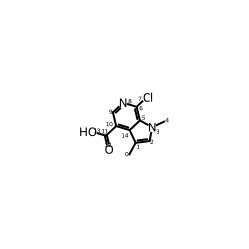 Cc1cn(C)c2c(Cl)ncc(C(=O)O)c12